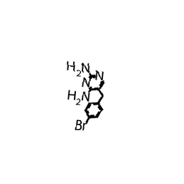 Nc1ncc(Cc2ccc(Br)cc2)c(N)n1